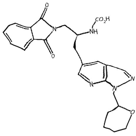 O=C(O)N[C@@H](Cc1cnc2c(cnn2C2CCCCO2)c1)CN1C(=O)c2ccccc2C1=O